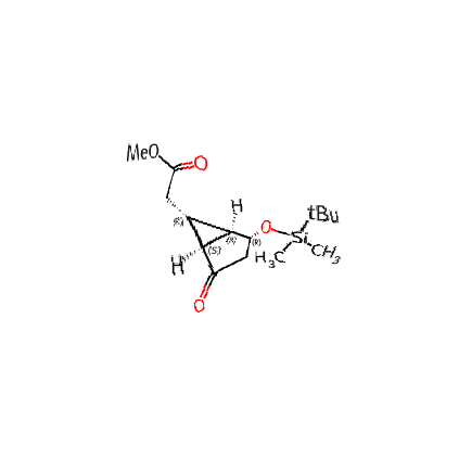 COC(=O)C[C@H]1[C@@H]2C(=O)C[C@@H](O[Si](C)(C)C(C)(C)C)[C@H]12